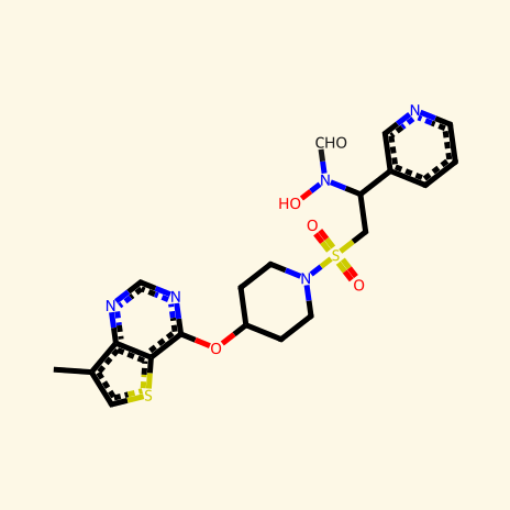 Cc1csc2c(OC3CCN(S(=O)(=O)CC(c4cccnc4)N(O)C=O)CC3)ncnc12